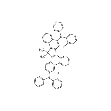 CC1(C)c2c(cc(N(c3ccccc3)c3ccccc3F)c3ccccc23)-c2c1c1ccc(N(c3ccccc3)c3ccccc3F)cc1c1ccccc21